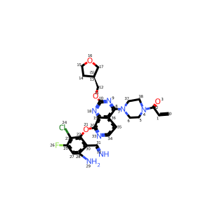 C=CC(=O)N1CCN(c2nc(OC[C@H]3CCOC3)nc3c(Oc4c(Cl)c(F)cc(N)c4C=N)nccc23)CC1